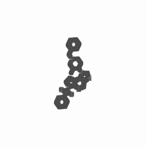 CC1CN(Cc2ccccc2)CCC1n1cnc2cnc3c(ccn3S(=O)(=O)c3ccccc3)c21